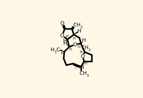 C=C1C(=O)O[C@H]2[C@H]3O[C@@H](C[C@@H]12)[C@@]1(C)CC[C@H](O1)/C(C)=C/CC[C@H]3C